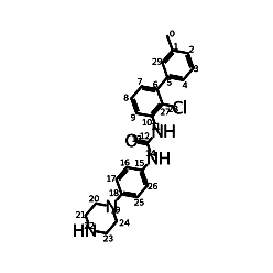 Cc1cccc(-c2cccc(NC(=O)Nc3ccc(N4CCNCC4)cc3)c2Cl)c1